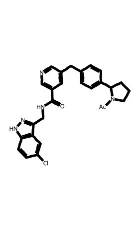 CC(=O)N1CCCC1c1ccc(Cc2cncc(C(=O)NCc3n[nH]c4ccc(Cl)cc34)c2)cc1